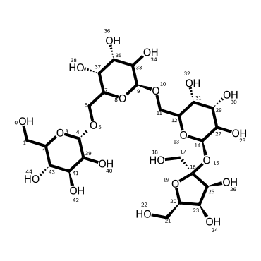 OCC1O[C@H](OCC2O[C@H](OCC3O[C@H](O[C@]4(CO)O[C@H](CO)[C@H](O)[C@@H]4O)C(O)[C@@H](O)[C@H]3O)C(O)[C@@H](O)[C@H]2O)C(O)[C@@H](O)[C@@H]1O